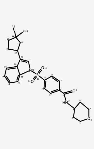 O=C(NC1CCOCC1)c1ccc(S(=O)(=O)n2cc(C3CCC(F)(F)C3)c3ccccc32)cc1